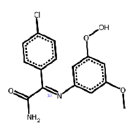 COc1cc(/N=C(/C(N)=O)c2ccc(Cl)cc2)cc(OO)c1